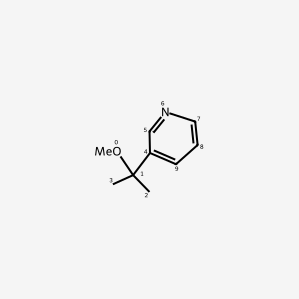 COC(C)(C)c1[c]nccc1